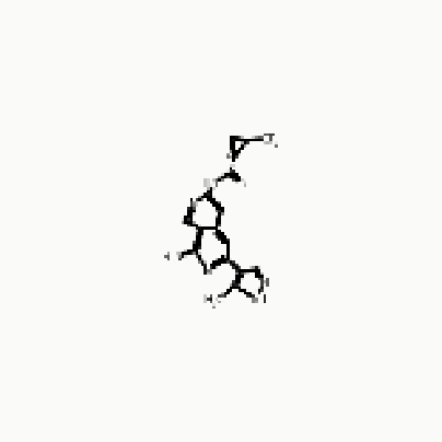 Cc1[nH]ncc1-c1cc2cc(NC(=O)[C@@H]3CC3C(F)(F)F)ncc2c(N)n1